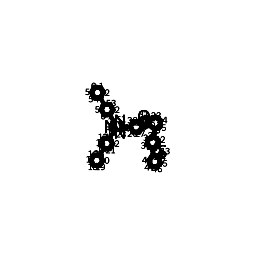 c1ccc(-c2ccc(-c3nc(-c4ccc(-c5ccccc5)cc4)nc(-c4ccc5c(c4)oc4cccc(-c6ccc7c(c6)sc6ccccc67)c45)n3)cc2)cc1